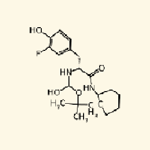 CC(C)(C)OC(O)N[C@H](Cc1ccc(O)c(F)c1)C(=O)NC1CCCCC1